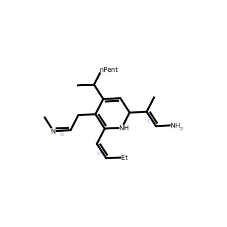 CC/C=C\C1=C(C/C=N\C)C(C(C)CCCCC)=CC(/C(C)=C/N)N1